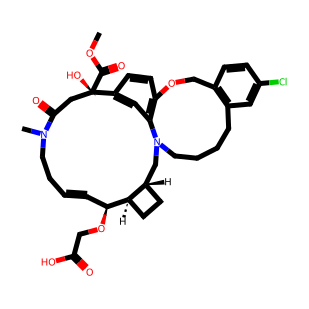 COC(=O)[C@@]1(O)CC(=O)N(C)CC/C=C/[C@H](OCC(=O)O)[C@@H]2CC[C@H]2CN2CCCCc3cc(Cl)ccc3COc3ccc1cc32